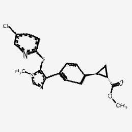 COC(=O)[C@H]1C[C@@H]1C1C=CC(c2ncn(C)c2Sc2ccc(Cl)cn2)=CC1